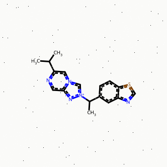 CC(C)c1cn2c[n+](C(C)c3ccc4scnc4c3)nc2cn1